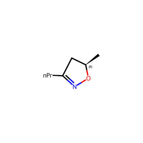 CCCC1=NO[C@H](C)C1